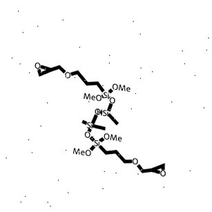 CO[Si](CCCOCC1CO1)(OC)O[SiH](C)O[Si](C)(C)O[Si](CCCOCC1CO1)(OC)OC